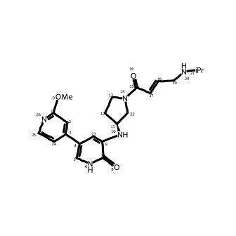 COc1cc(-c2c[nH]c(=O)c(N[C@H]3CCN(C(=O)C=CCNC(C)C)C3)c2)ccn1